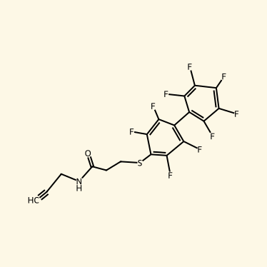 C#CCNC(=O)CCSc1c(F)c(F)c(-c2c(F)c(F)c(F)c(F)c2F)c(F)c1F